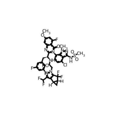 COc1cc(F)c2c(=O)n(-c3ccc(Cl)c4c(NS(C)(=O)=O)nn(C)c34)c([C@H](Cc3cc(F)cc(F)c3)NC(O)Cn3nc(C(F)F)c4c3C(F)(F)[C@@H]3C[C@H]43)nc2c1